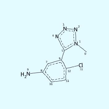 Cn1nnnc1-c1cc(N)ccc1Cl